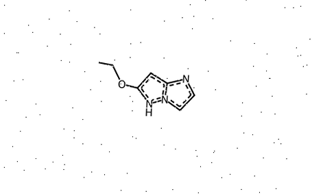 CCOc1cc2nccn2[nH]1